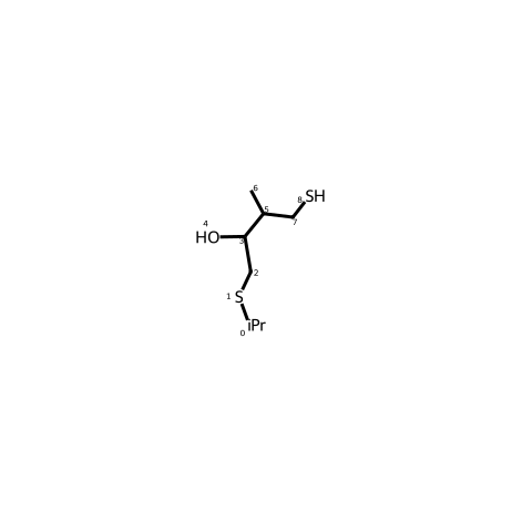 CC(C)SCC(O)C(C)CS